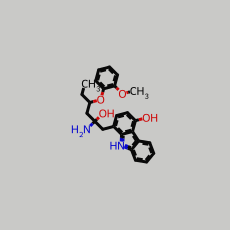 CCC(CC(N)(O)Cc1ccc(O)c2c1[nH]c1ccccc12)Oc1ccccc1OC